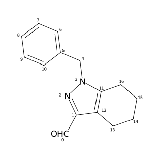 O=Cc1nn(Cc2ccccc2)c2c1CCCC2